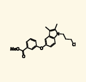 COC(=O)c1cccc(Oc2ccc3c(c2)c(C)c(C)n3CCCCl)c1